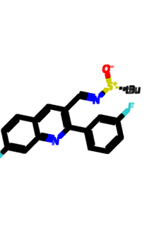 CC(C)(C)[S@@+]([O-])/N=C/c1cc2ccc(F)cc2nc1-c1cccc(F)c1